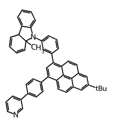 CC(C)(C)c1cc2ccc3c(-c4ccc(-c5cccnc5)cc4)cc(-c4cccc(N5c6ccccc6C6C=CC=CC65C)c4)c4ccc(c1)c2c34